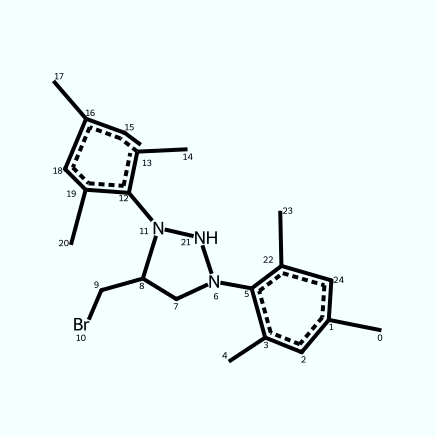 Cc1cc(C)c(N2CC(CBr)N(c3c(C)cc(C)cc3C)N2)c(C)c1